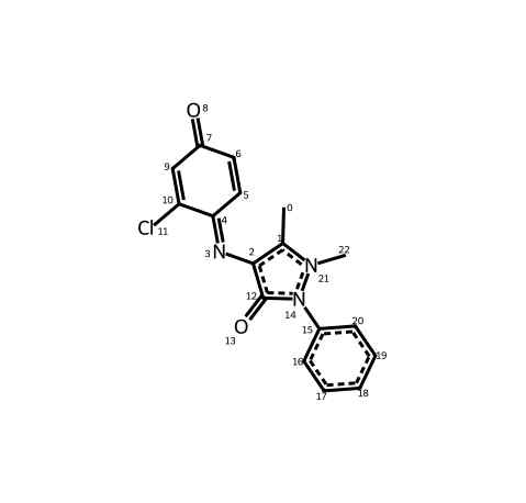 Cc1c(N=C2C=CC(=O)C=C2Cl)c(=O)n(-c2ccccc2)n1C